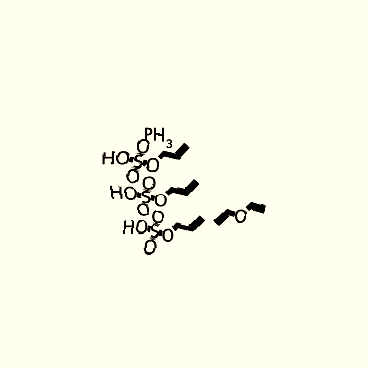 C=CCOS(=O)(=O)O.C=CCOS(=O)(=O)O.C=CCOS(=O)(=O)O.C=COC=C.P